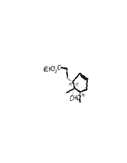 CCOC(=O)CC[C@@H]1C=CC[C@@H](C)[C@]1(C)C=O